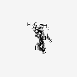 C=C/C=C1/CCC23C4CCC(/C(C)=N/CN(CC5CC(F)CN5)C5CC5)C4(C)CCC2C13CCC